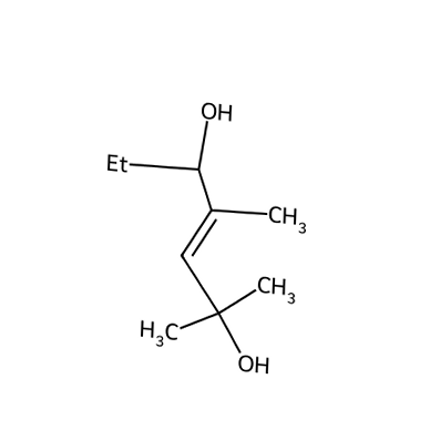 CCC(O)C(C)=CC(C)(C)O